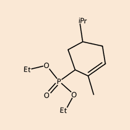 CCOP(=O)(OCC)C1CC(C(C)C)CC=C1C